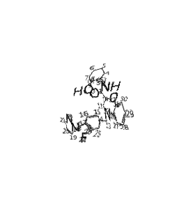 O=C(N[C@H]1CCCC[C@@H]1O)C1CN(Cc2ccc(-n3cccn3)c(F)c2)c2ccccc2O1